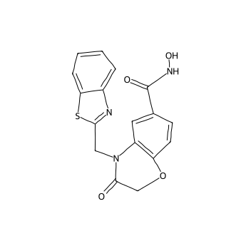 O=C(NO)c1ccc2c(c1)N(Cc1nc3ccccc3s1)C(=O)CO2